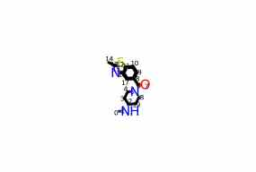 CNC1CCN(C(=O)c2ccc3sc(C)nc3c2)CC1